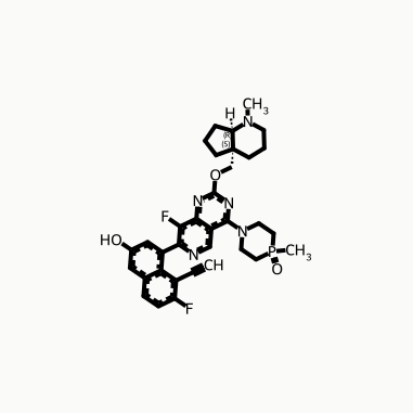 C#Cc1c(F)ccc2cc(O)cc(-c3ncc4c(N5CCP(C)(=O)CC5)nc(OC[C@]56CCC[C@H]5N(C)CCC6)nc4c3F)c12